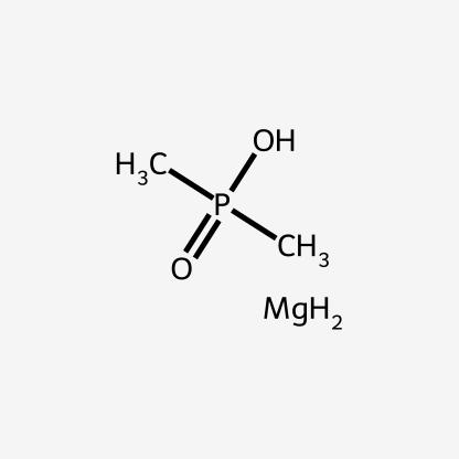 CP(C)(=O)O.[MgH2]